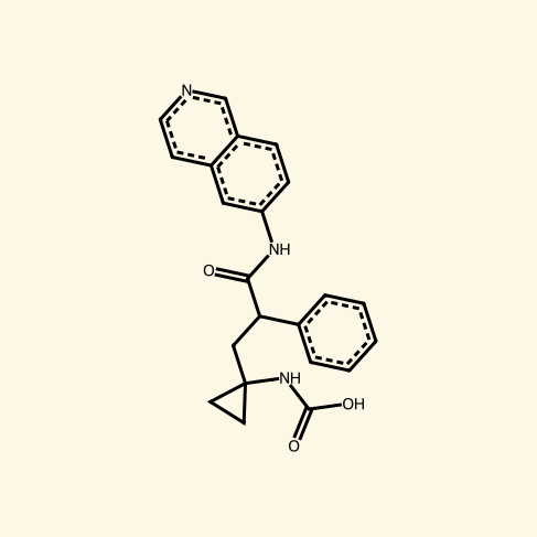 O=C(O)NC1(CC(C(=O)Nc2ccc3cnccc3c2)c2ccccc2)CC1